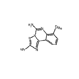 CCCc1nc2c3cccc(OC)c3nc(N)n2n1